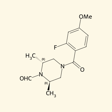 COc1ccc(C(=O)N2C[C@@H](C)N(C=O)[C@H](C)C2)c(F)c1